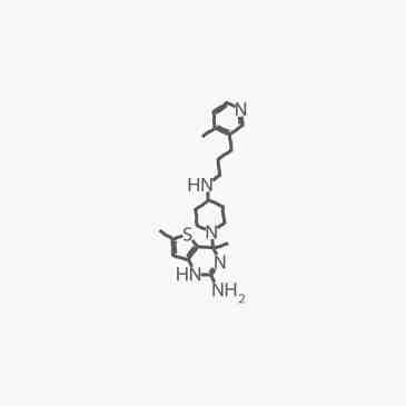 Cc1cc2c(s1)C(C)(N1CCC(NCCCc3cnccc3C)CC1)N=C(N)N2